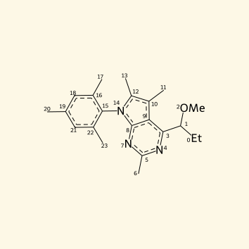 CCC(OC)c1nc(C)nc2c1c(C)c(C)n2-c1c(C)cc(C)cc1C